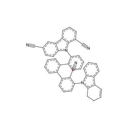 N#Cc1ccc2c(c1)c1cccc(C#N)c1n2-c1ccccc1-c1ccccc1-c1cccc(-n2c3c(c4ccccc42)C=CCC3)c1C#N